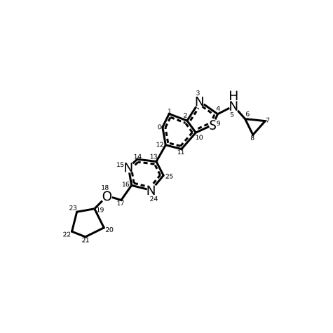 c1cc2nc(NC3CC3)sc2cc1-c1cnc(COC2CCCC2)nc1